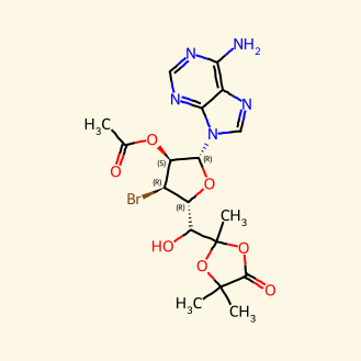 CC(=O)O[C@@H]1[C@H](Br)[C@@H](C(O)C2(C)OC(=O)C(C)(C)O2)O[C@H]1n1cnc2c(N)ncnc21